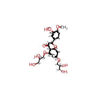 COc1ccc(-c2cc(=O)c3c(OCC(O)CO)cc(OCC(O)CO)cc3o2)cc1O